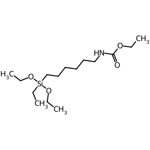 CCOC(=O)NCCCCCC[Si](CC)(OCC)OCC